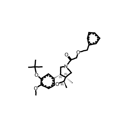 COc1ccc([C@@H]2CN(C(=O)COCc3ccccc3)C[C@@]2(C)[C@@H](C)O)cc1OC(C)(C)C